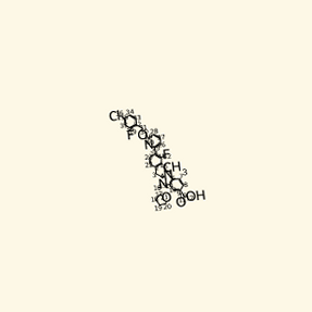 Cc1c(Cc2nc3ccc(C(=O)O)cc3n2C[C@H]2CCCO2)ccc(-c2cccc(OCc3ccc(Cl)cc3F)n2)c1F